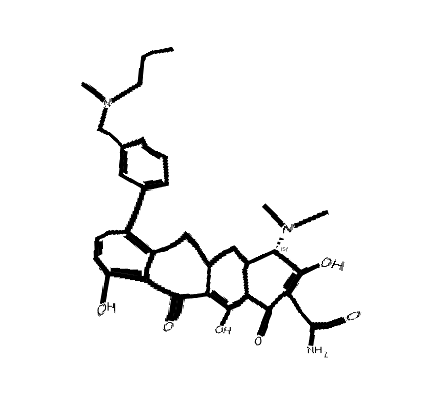 CCCN(C)Cc1cccc(-c2ccc(O)c3c2CC2CC4C(C(=O)C(C(N)=O)=C(O)[C@H]4N(C)C)C(O)=C2C3=O)c1